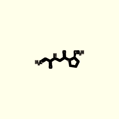 C=CC(=O)NCC(=O)N1CCC[C@@H]1C(=O)O